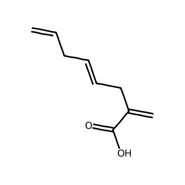 C=CC/C=C/CC(=C)C(=O)O